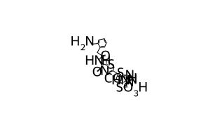 NCc1ccccc1CC(=O)NC1C(=O)N2C(C(=O)O)=C(C(CCS(=O)(=O)O)Sc3nnn[nH]3)CS[C@@H]12